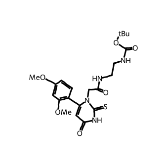 COc1ccc(-c2cc(=O)[nH]c(=S)n2CC(=O)NCCNC(=O)OC(C)(C)C)c(OC)c1